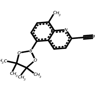 Cc1ccc(B2OC(C)(C)C(C)(C)O2)c2ccc(C#N)nc12